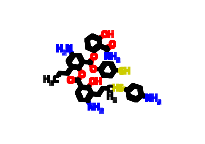 CCCc1cc(N)cc(C(=O)Oc2ccc(S)cc2)c1OC(=O)c1ccc(N)c(CCC)c1O.NC(=O)c1ccccc1O.Nc1ccc(S)cc1